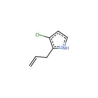 C=CCc1[nH]ccc1Cl